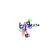 CNC(=O)c1cc(Cl)cc(C)c1NC(=O)C1CC(OS(=O)(=O)c2cccnc2)=NN1c1ncccc1Cl